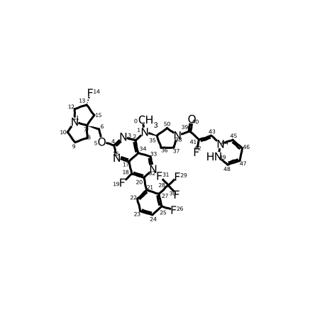 CN(c1nc(OC[C@@]23CCCN2C[C@H](F)C3)nc2c(F)c(-c3cccc(F)c3C(F)(F)F)ncc12)[C@@H]1CCN(C(=O)/C(F)=C/N2C=CC=CN2)C1